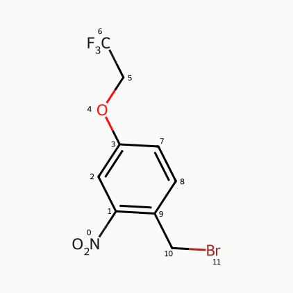 O=[N+]([O-])c1cc(OCC(F)(F)F)ccc1CBr